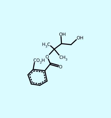 CC(C)(OC(=O)c1ccccc1C(=O)O)C(O)CO